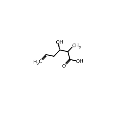 C=CC[C@@H](O)C(C)C(=O)O